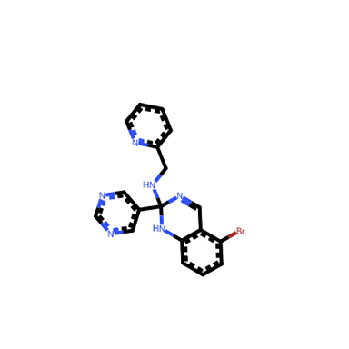 Brc1cccc2c1C=NC(NCc1ccccn1)(c1cncnc1)N2